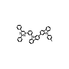 Cc1ccc(-n2c3ccccc3c3ccc(-c4ccc5c6ccccc6n(-c6cccc(-c7cc(-c8ccccc8)nc(-c8ccccc8)n7)c6)c5c4)cc32)cc1